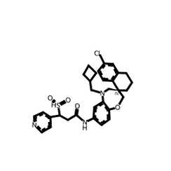 O=C(CC(c1ccncc1)[SH](=O)=O)Nc1ccc2c(c1)N(CC1CCC1)C[C@@]1(CCCc3cc(Cl)ccc31)CO2